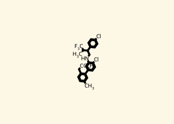 Cc1ccc(CC(=O)O)c(-c2ccc(Cl)c(NCC(c3ccc(Cl)cc3)C(C)C(F)(F)F)c2)c1